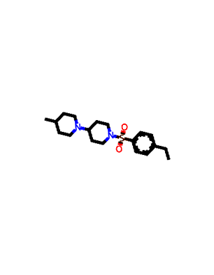 CCc1ccc(S(=O)(=O)N2CCC(N3CCC(C)CC3)CC2)cc1